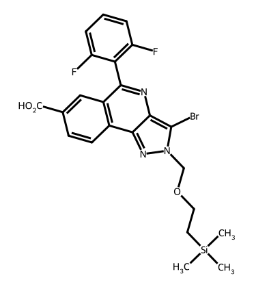 C[Si](C)(C)CCOCn1nc2c(nc(-c3c(F)cccc3F)c3cc(C(=O)O)ccc32)c1Br